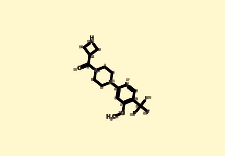 COc1cc(N2CCN(C(=O)C3CNC3)CC2)ncc1C(F)(F)F